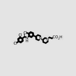 C[C@@H](Nc1cc(C2=CCN([C@H]3CCCN(CCC(=O)O)C3)CC2)ccc1Cl)c1ccc(Cl)cc1Cl